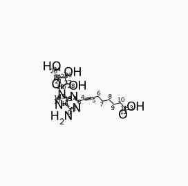 Nc1nc(C#CCCCCCC(=O)O)nc2c1ncn2[C@@H]1O[C@H](CO)C(O)C1O